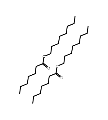 CCCCCCCCOC(=O)CCCCCC.CCCCCCCCOC(=O)CCCCCC